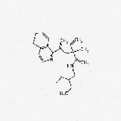 C=CC(C)(CC(=C)c1nccc2c1C=CCC2)C(=C)NCC(CC)CF